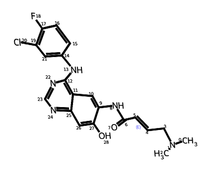 CN(C)C/C=C/C(=O)Nc1cc2c(Nc3ccc(F)c(Cl)c3)ncnc2cc1O